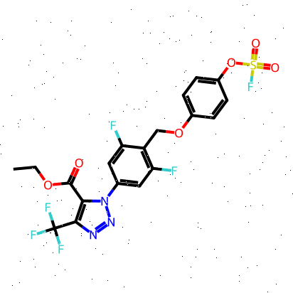 CCOC(=O)c1c(C(F)(F)F)nnn1-c1cc(F)c(COc2ccc(OS(=O)(=O)F)cc2)c(F)c1